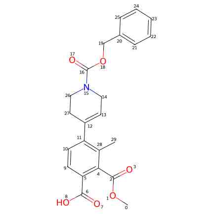 COC(=O)c1c(C(=O)O)ccc(C2=CCN(C(=O)OCc3ccccc3)CC2)c1C